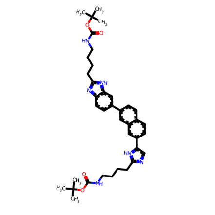 CC(C)(C)OC(=O)NCCCCc1ncc(-c2ccc3ccc(-c4ccc5nc(CCCCNC(=O)OC(C)(C)C)[nH]c5c4)cc3c2)[nH]1